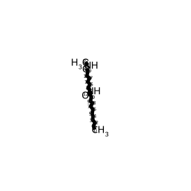 CCCCCCCCCCCC(=O)NCCCCCCONC